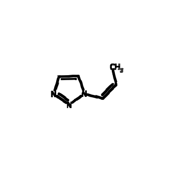 C/C=C\n1ccnn1